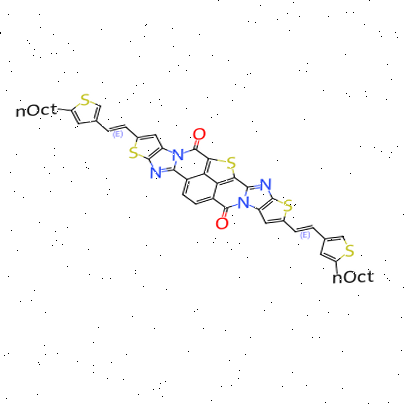 CCCCCCCCc1cc(/C=C/c2cc3c(nc4c5ccc6c(=O)n7c8cc(/C=C/c9csc(CCCCCCCC)c9)sc8nc7c7sc(c(=O)n34)c5c67)s2)cs1